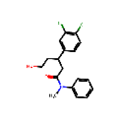 CN(C(=O)CC(CCO)c1ccc(Cl)c(Cl)c1)c1ccccc1